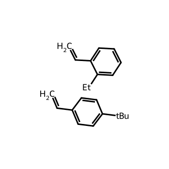 C=Cc1ccc(C(C)(C)C)cc1.C=Cc1ccccc1CC